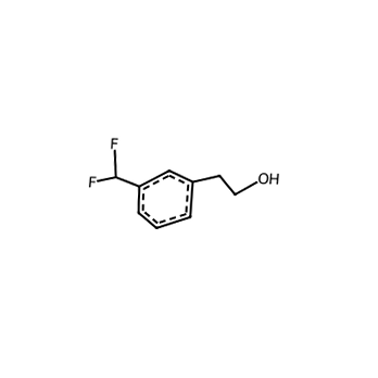 OCCc1cccc(C(F)F)c1